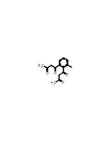 O=C(CC(=O)C(F)(F)F)c1cccc(I)c1C(=O)CC(=O)C(F)(F)F